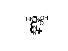 CC(C)(C)c1nccc(CC2CN(C(=O)O)CCN2)n1